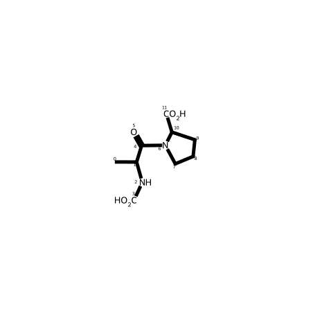 CC(NC(=O)O)C(=O)N1CCCC1C(=O)O